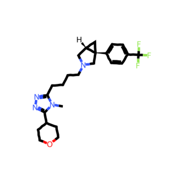 Cn1c(CCCCN2C[C@@H]3C[C@]3(c3ccc(C(F)(F)F)cc3)C2)nnc1C1CCOCC1